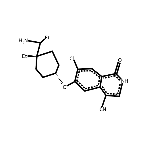 CCC(N)[C@]1(CC)CC[C@H](Oc2cc3c(C#N)c[nH]c(=O)c3cc2Cl)CC1